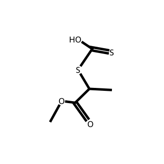 COC(=O)C(C)SC(O)=S